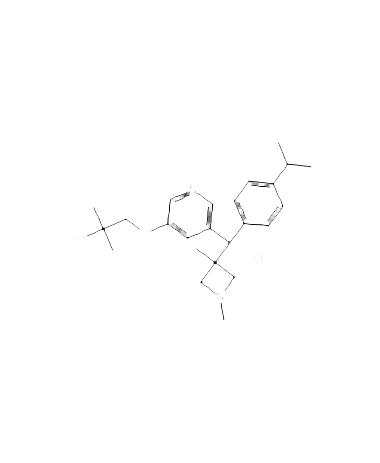 CC(C)c1ccc([C@](O)(c2cncc(OCC(C)(C)O)c2)C2(C)CN(C)C2)cc1